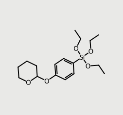 CCO[Si](OCC)(OCC)c1ccc(OC2CCCCO2)cc1